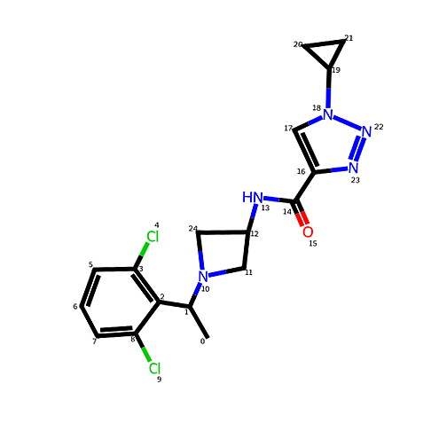 CC(c1c(Cl)cccc1Cl)N1CC(NC(=O)c2cn(C3CC3)nn2)C1